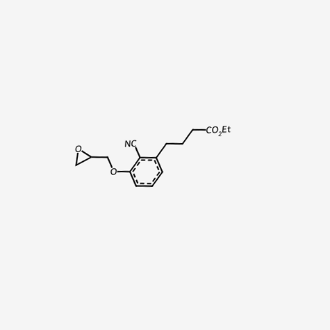 CCOC(=O)CCCc1cccc(OCC2CO2)c1C#N